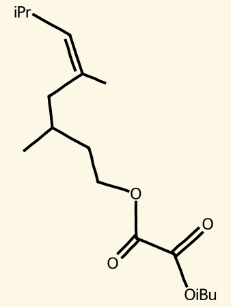 CC(=CC(C)C)CC(C)CCOC(=O)C(=O)OCC(C)C